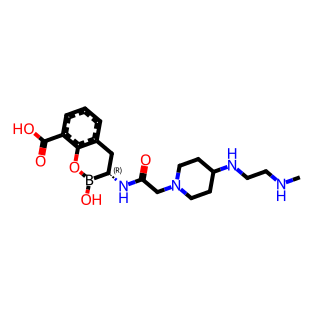 CNCCNC1CCN(CC(=O)N[C@H]2Cc3cccc(C(=O)O)c3OB2O)CC1